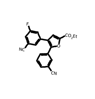 CCOC(=O)c1cc(-c2cc(F)cc(C#N)c2)c(-c2cccc(C#N)c2)o1